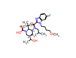 COCCCCn1c(C(=O)N(CC(C)C)[C@H]2C[C@@H](C(C)O)CN(C(=O)O)C2C(C)(C)C)nc2ccc(F)cc21